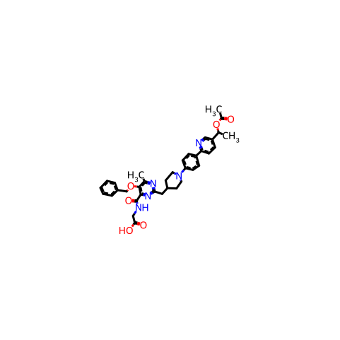 CC(=O)OC(C)c1ccc(-c2ccc(N3CCC(Cc4nc(C)c(OCc5ccccc5)c(C(=O)NCC(=O)O)n4)CC3)cc2)nc1